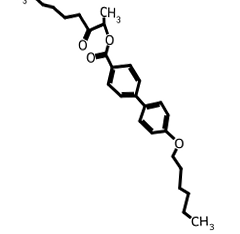 CCCCCCOc1ccc(-c2ccc(C(=O)OC(C)C(=O)CCCCC)cc2)cc1